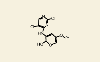 CC(C)OC1=COC(O)C(Nc2nc(Cl)ncc2Cl)=C1